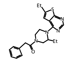 CCc1cc2c(N3CCN(C(=O)Cc4ccccc4)CC3CC)ncnc2s1